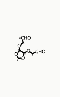 O=CCOC1OCOC1OCC=O